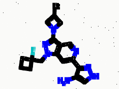 CCC1CN(c2nn(CC3(F)CCC3)c3cc(-c4n[nH]cc4N)ncc23)C1